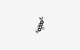 CCN(CC)c1ccc2cc(C(=O)c3ccc(N(C)C)cc3)c(=O)oc2c1